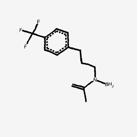 BN(CCCc1ccc(C(F)(F)F)cc1)C(=C)C